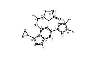 Cc1cc(-c2cc(OC(C)[C@H]3CNC(=O)C3)c3c(c2)ncn3C2CC2)nn1C